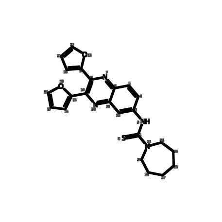 S=C(Nc1ccc2nc(-c3ccco3)c(-c3ccco3)nc2c1)N1CCCCCC1